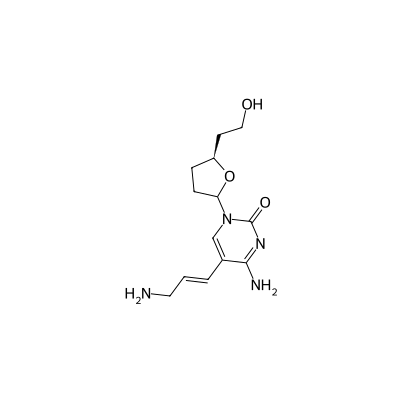 NC/C=C/c1cn(C2CC[C@@H](CCO)O2)c(=O)nc1N